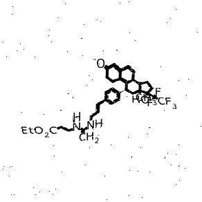 C=C(NC/C=C/c1ccc([C@H]2CC3(C)C(CCC3(O)C(F)(F)C(F)(F)F)C3CCC4=CC(=O)CCC4=C32)cc1)NCCC(=O)OCC